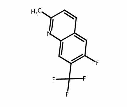 Cc1ccc2cc(F)c(C(F)(F)F)cc2n1